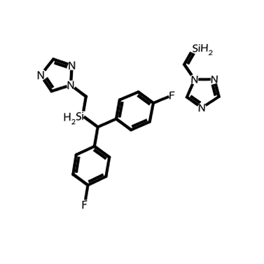 Fc1ccc(C([SiH2]Cn2cncn2)c2ccc(F)cc2)cc1.[SiH2]=Cn1cncn1